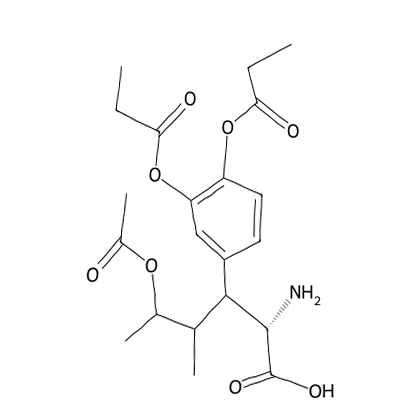 CCC(=O)Oc1ccc(C(C(C)C(C)OC(C)=O)[C@H](N)C(=O)O)cc1OC(=O)CC